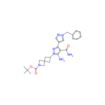 CC(C)(C)OC(=O)N1CC2(CC(n3nc(-c4cnn(Cc5ccccc5)c4)c(C(N)=O)c3N)C2)C1